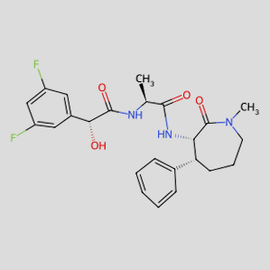 C[C@H](NC(=O)[C@H](O)c1cc(F)cc(F)c1)C(=O)N[C@@H]1C(=O)N(C)CCC[C@@H]1c1ccccc1